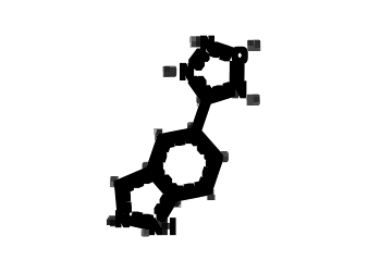 c1cc2[nH]ncc2cc1-c1nnon1